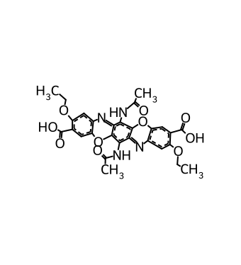 CCOc1cc2c(cc1C(=O)O)Oc1c(NC(C)=O)c3c(c(NC(C)=O)c1=N2)Oc1cc(C(=O)O)c(OCC)cc1N=3